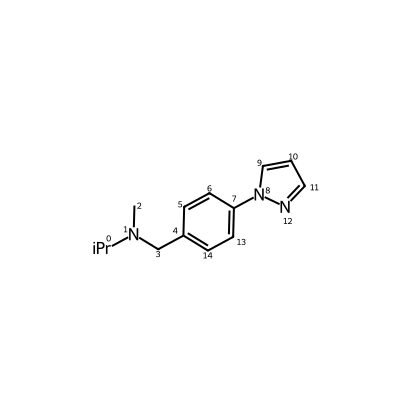 CC(C)N(C)Cc1ccc(-n2cccn2)cc1